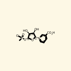 CP(=O)([O-])O[C@H]1O[C@@H]([n+]2cccc(C(=O)O)c2)[C@H](O)[C@@H]1O